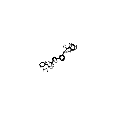 CNC(=O)C(NC(=O)c1ccc(-c2cccc(CNC(=O)c3ccncn3)c2)o1)C1CCCCC1